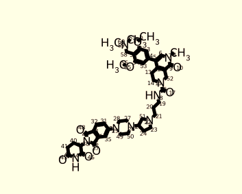 COc1cc(-c2cn(C)c(=O)c3c2CCN(C(=O)NCCCN2CCC(N4CCN(c5ccc6c(c5)C(=O)N(C5CCC(=O)NC5=O)C6=O)CC4)C2)C3)cc(OC)c1CN(C)C